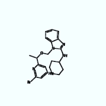 CC(OCn1c(NC2CCNCC2)nc2ccccc21)c1cccc(Br)n1